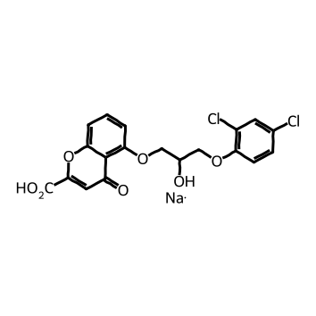 O=C(O)c1cc(=O)c2c(OCC(O)COc3ccc(Cl)cc3Cl)cccc2o1.[Na]